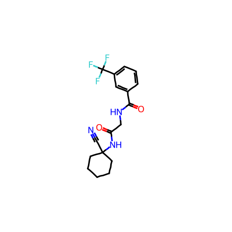 N#CC1(NC(=O)CNC(=O)c2cccc(C(F)(F)F)c2)CCCCC1